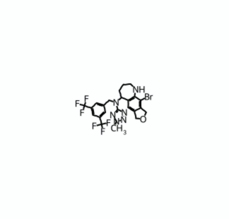 Cn1nnc(N(Cc2cc(C(F)(F)F)cc(C(F)(F)F)c2)C2CCCNc3c2cc2c(c3Br)COC2)n1